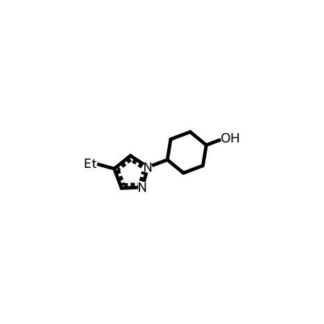 CCc1cnn(C2CCC(O)CC2)c1